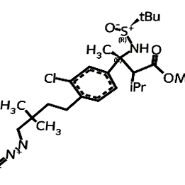 COC(=O)C(C(C)C)[C@@](C)(N[S@@+]([O-])C(C)(C)C)c1ccc(CCC(C)(C)CN=[N+]=[N-])c(Cl)c1